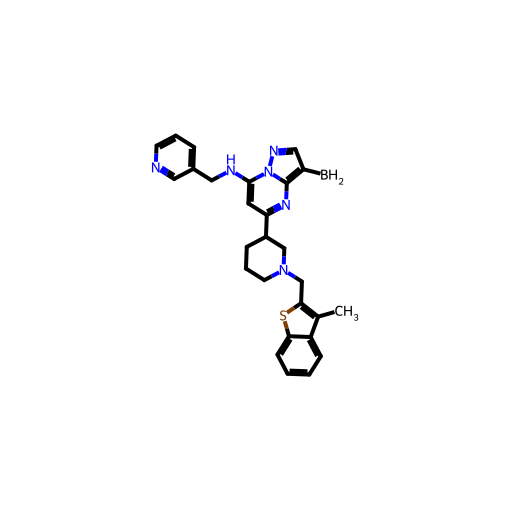 Bc1cnn2c(NCc3cccnc3)cc(C3CCCN(Cc4sc5ccccc5c4C)C3)nc12